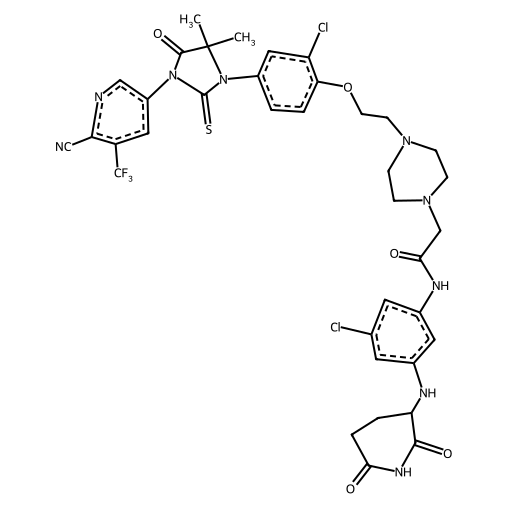 CC1(C)C(=O)N(c2cnc(C#N)c(C(F)(F)F)c2)C(=S)N1c1ccc(OCCN2CCN(CC(=O)Nc3cc(Cl)cc(NC4CCC(=O)NC4=O)c3)CC2)c(Cl)c1